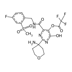 CS(=O)(=O)c1cc(F)ccc1CNC(=O)c1nc(C2(N)CCOCC2)nc(O)c1OC(=O)C(F)(F)F